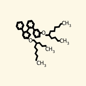 CCCCCCC(CCCC)COc1cccc(-c2ccccc2-c2cc(OCC(CCCC)CCCCCC)ccc2-c2ccccc2)c1